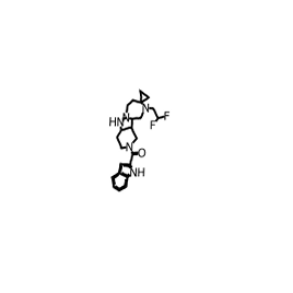 O=C(c1cc2ccccc2[nH]1)N1CCC2NN3CCC4(CC4)N(CC(F)F)CC3C2C1